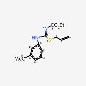 C=CCS/C(=N\C(=O)OCC)Nc1cccc(OC)c1